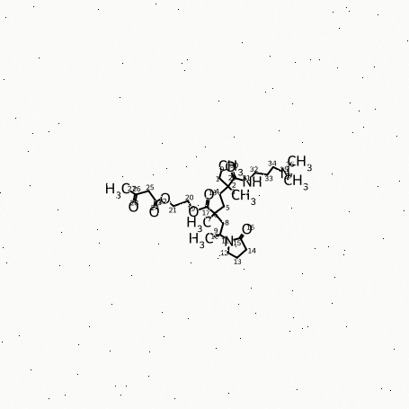 CCC(C)(CCC(C)(CC(C)N1CCCC1=O)C(=O)OCCOC(=O)CC(C)=O)C(=O)NCCCN(C)C